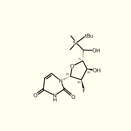 CC(C)(C)[Si](C)(C)C(O)[C@H]1O[C@@H](n2ccc(=O)[nH]c2=O)[C@H](F)[C@@H]1O